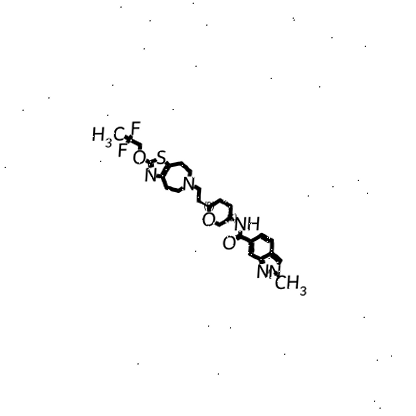 Cn1cc2ccc(C(=O)N[C@H]3CC[C@H](CCN4CCc5nc(OCC(C)(F)F)sc5CC4)OC3)cc2n1